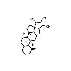 C=C1CCCC2CC[C@@H]3[C@@H](CC[C@@]4(C)[C@H]3CCC4(C(O)CO)C(O)CO)[C@@]12C